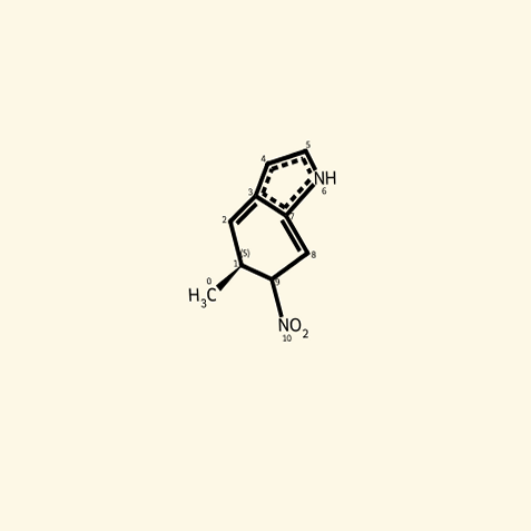 C[C@H]1C=c2cc[nH]c2=CC1[N+](=O)[O-]